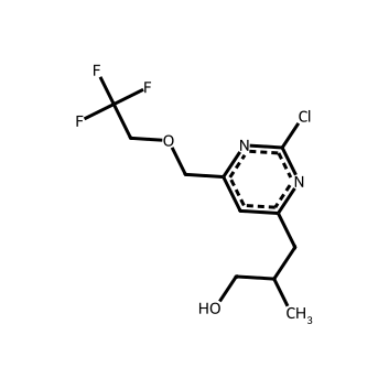 CC(CO)Cc1cc(COCC(F)(F)F)nc(Cl)n1